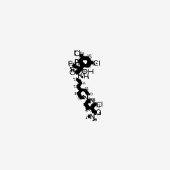 CN(C)C(=O)c1ccc(N2CCC(CCCNC(=O)[C@](O)(c3cc(Cl)cc(Cl)c3)C(F)(F)F)CC2)nc1Cl